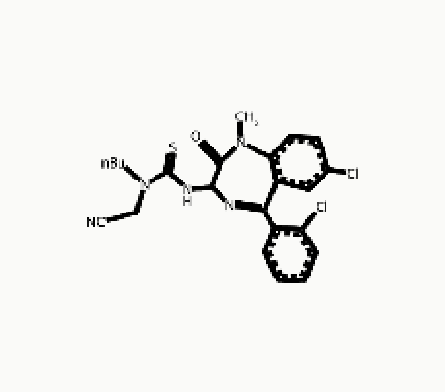 CCCCN(CC#N)C(=S)NC1N=C(c2ccccc2Cl)c2cc(Cl)ccc2N(C)C1=O